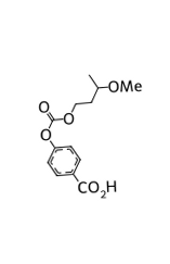 COC(C)CCOC(=O)Oc1ccc(C(=O)O)cc1